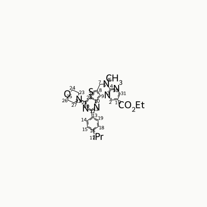 CCOC(=O)c1cnc(N(C)Cc2cc3nc(-c4ccc(C(C)C)cc4)nc(N4CCOCC4)c3s2)nc1